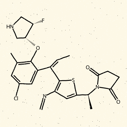 C=Nc1cc([C@H](C)N2C(=O)CCC2=O)sc1/C(=C\C)c1cc(Cl)cc(C)c1O[C@@H]1CNC[C@@H]1F